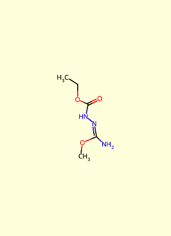 CCOC(=O)NN=C(N)OC